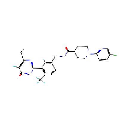 CCc1nc(-c2c(C(F)(F)F)ccc(CNC(=O)C3CCN(c4ccc(Cl)cn4)CC3)c2F)[nH]c(=O)c1F